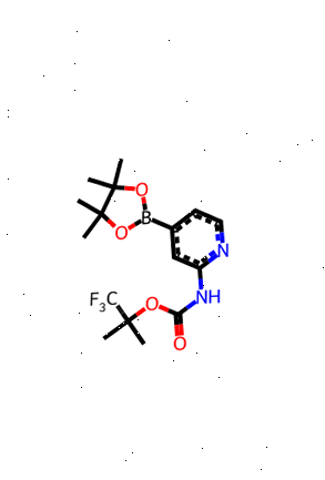 CC(C)(OC(=O)Nc1cc(B2OC(C)(C)C(C)(C)O2)ccn1)C(F)(F)F